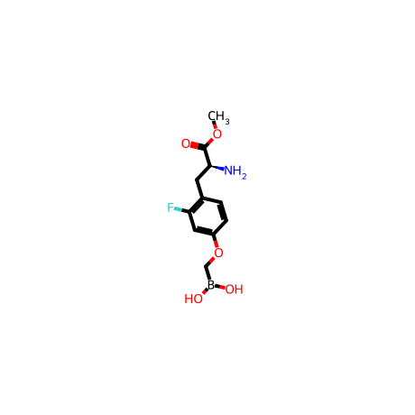 COC(=O)[C@@H](N)Cc1ccc(OCB(O)O)cc1F